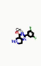 COc1nc(-c2cc(F)cc(F)c2)nc2c1CNCC2